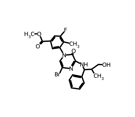 COC(=O)c1cc(F)c(C)c(-n2cc(Br)nc(NC(c3ccccc3)C(C)CO)c2=O)c1